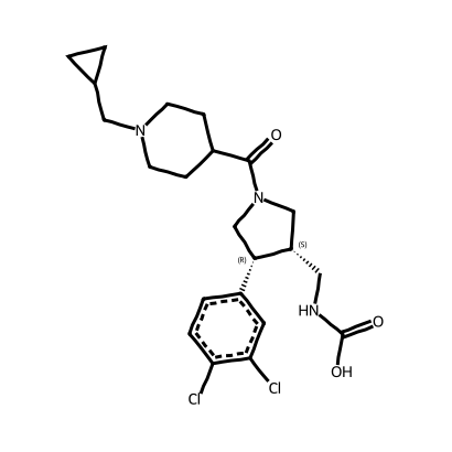 O=C(O)NC[C@H]1CN(C(=O)C2CCN(CC3CC3)CC2)C[C@H]1c1ccc(Cl)c(Cl)c1